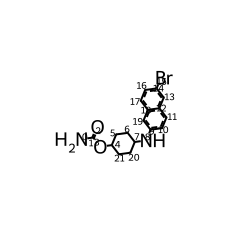 NC(=O)OC1CCC(Nc2ccc3cc(Br)ccc3c2)CC1